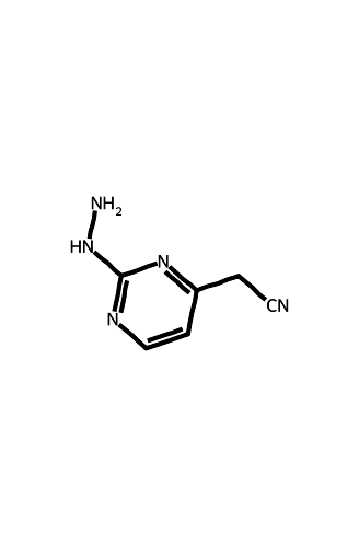 N#CCc1ccnc(NN)n1